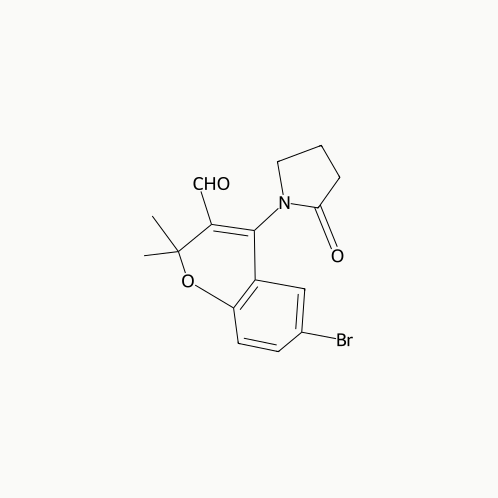 CC1(C)Oc2ccc(Br)cc2C(N2CCCC2=O)=C1C=O